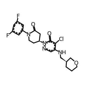 O=C1C[C@@H](n2ncc(NC[C@@H]3CCCOC3)c(Cl)c2=O)CCN1c1cc(F)cc(F)c1